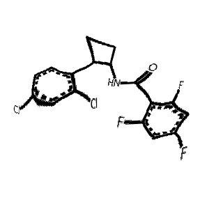 O=C(NC1CCC1c1ccc(Cl)cc1Cl)c1c(F)cc(F)cc1F